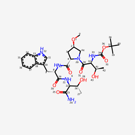 CO[C@@H]1C[C@@H](C(=O)N[C@@H](Cc2c[nH]c3ccccc23)C(=O)N[C@H](C(N)=O)[C@@H](C)O)N(C(=O)[C@@H](NC(=O)OC(C)(C)C)[C@@H](C)O)C1